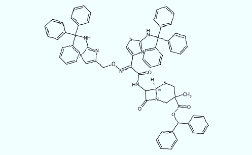 CC1(C(=O)OC(c2ccccc2)c2ccccc2)CS[C@@H]2C(NC(=O)C(=NOCc3csc(NC(c4ccccc4)(c4ccccc4)c4ccccc4)n3)c3csc(NC(c4ccccc4)(c4ccccc4)c4ccccc4)n3)C(=O)N2C1